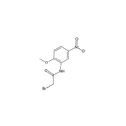 COc1ccc([N+](=O)[O-])cc1NC(=O)CBr